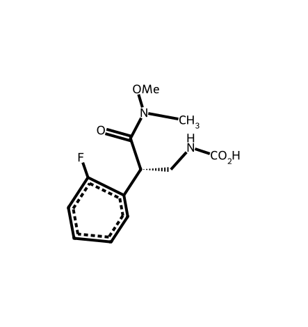 CON(C)C(=O)[C@H](CNC(=O)O)c1ccccc1F